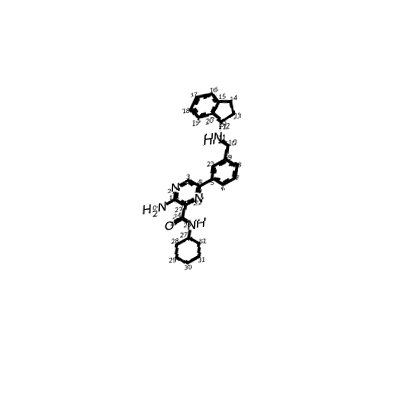 Nc1ncc(-c2cccc(CN[C@H]3CCc4ccccc43)c2)nc1C(=O)NC1CCCCC1